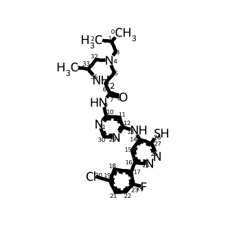 CC(C)CN(CCC(=O)Nc1cc(Nc2cc(-c3cc(Cl)ccc3F)nnc2S)ncn1)CC(C)N